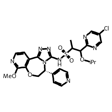 COc1nccc2c1OC[C@@H](c1ccncc1)n1c(NS(=O)(=O)C(C)C(OC(C)C)c3ncc(Cl)cn3)nnc1-2